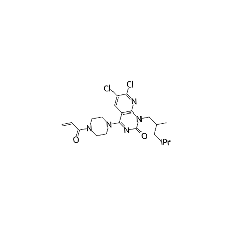 C=CC(=O)N1CCN(c2nc(=O)n(CC(C)CC(C)C)c3nc(Cl)c(Cl)cc23)CC1